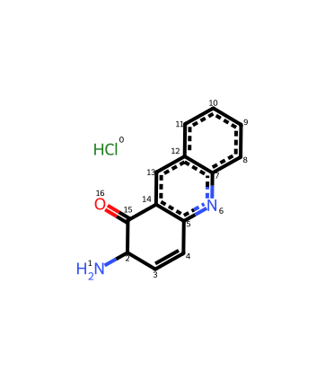 Cl.NC1C=Cc2nc3ccccc3cc2C1=O